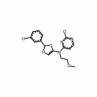 COCCN(C1=COC(c2cccc(Cl)c2)O1)c1ccnc(Cl)n1